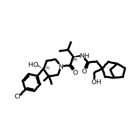 CC(C)[C@@H](NC(=O)CC1(CO)CC2CCC(C2)C1)C(=O)N1CC[C@](O)(c2ccc(Cl)cc2)C(C)(C)C1